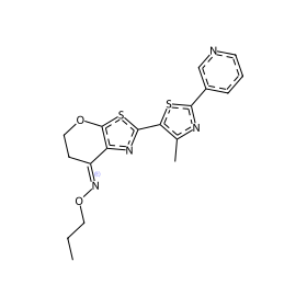 CCCO/N=C1\CCOc2sc(-c3sc(-c4cccnc4)nc3C)nc21